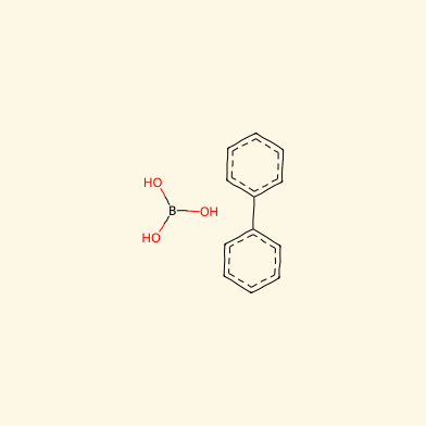 OB(O)O.c1ccc(-c2ccccc2)cc1